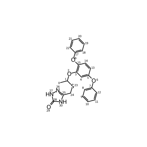 CC(Oc1cc(Oc2ccccc2)ccc1Oc1ccccc1)SCc1n[nH]c(=O)[nH]1